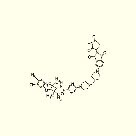 CC1(C)[C@H](NC(=O)c2ccc(N3CCN(CC4CCN(c5ccc6c(c5)C(=O)N(C5CCC(=O)NC5=O)C6=O)CC4)CC3)nc2)C(C)(C)[C@H]1Oc1ccc(C#N)c(Cl)c1